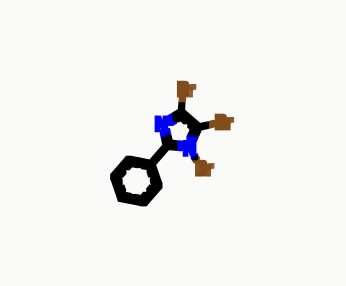 Brc1nc(-c2ccccc2)n(Br)c1Br